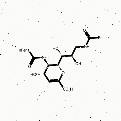 CCCCCC(=O)N[C@H]1[C@H]([C@H](O)[C@H](O)CNC(=O)CC)OC(C(=O)O)=C[C@@H]1O